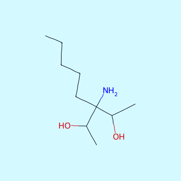 CCCCCC(N)(C(C)O)C(C)O